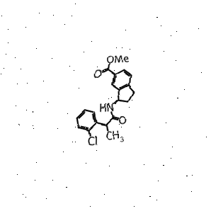 COC(=O)c1ccc2c(c1)C(NC(=O)C(C)c1ccccc1Cl)CC2